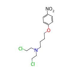 O=[N+]([O-])c1ccc(OCCCCN(CCCl)CCCl)cc1